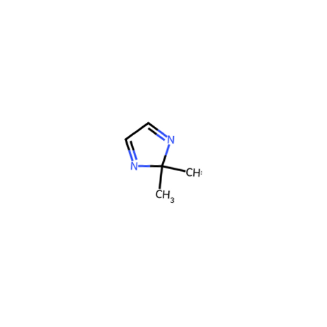 [CH]C1(C)N=CC=N1